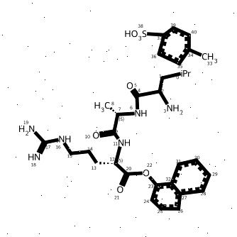 CC(C)CC(N)C(=O)N[C@@H](C)C(=O)N[C@@H](CCCNC(=N)N)C(=O)Oc1cccc2ccccc12.Cc1ccc(S(=O)(=O)O)cc1